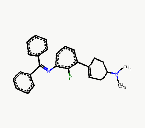 CN(C)C1CC=C(c2cccc(N=C(c3ccccc3)c3ccccc3)c2F)CC1